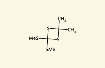 CSC1(SC)SC(C)(C)S1